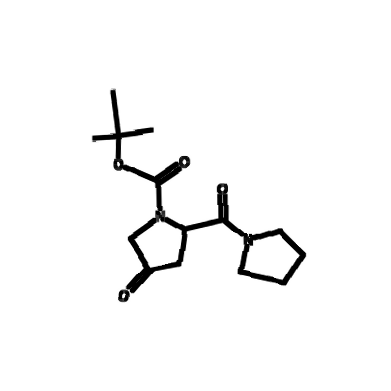 CC(C)(C)OC(=O)N1CC(=O)CC1C(=O)N1CCCC1